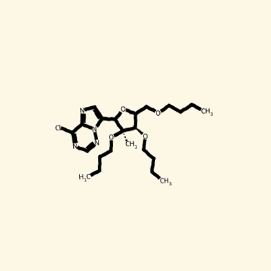 CCCCOCC1OC(c2cnc3c(Cl)ncnn23)[C@](C)(OCCCC)[C@@H]1OCCCC